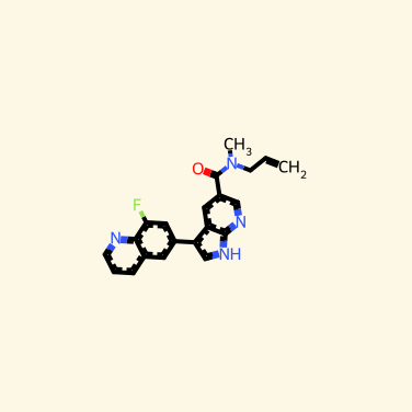 C=CCN(C)C(=O)c1cnc2[nH]cc(-c3cc(F)c4ncccc4c3)c2c1